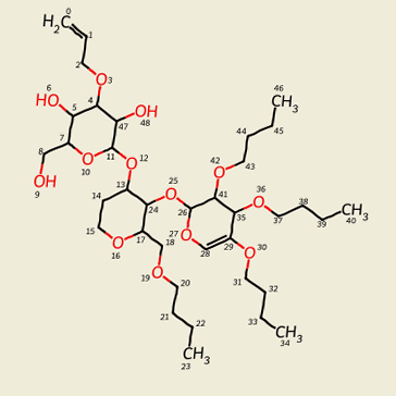 C=CCOC1C(O)C(CO)OC(OC2CCOC(COCCCC)C2OC2OC=C(OCCCC)C(OCCCC)C2OCCCC)C1O